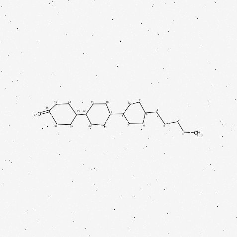 CCCCCC1CCC(C2CCC(C3CCC(=O)CC3)CC2)CC1